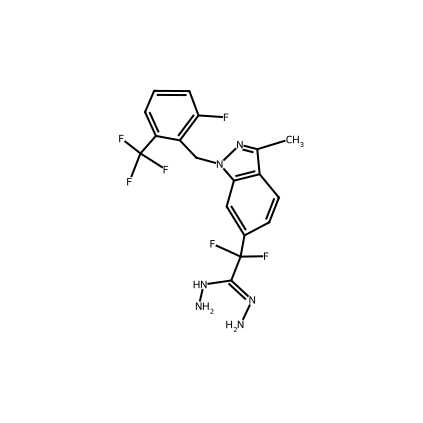 Cc1nn(Cc2c(F)cccc2C(F)(F)F)c2cc(C(F)(F)/C(=N/N)NN)ccc12